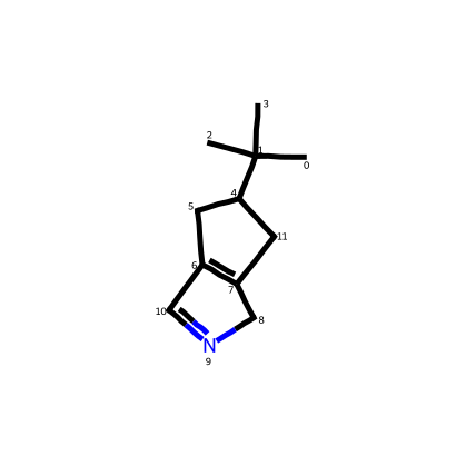 CC(C)(C)C1CC2=C(CN=C2)C1